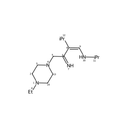 CCN1CCN(CC(=N)/C(=C\NC(C)C)C(C)C)CC1